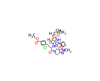 CCOC(=O)c1ccc(CCC(NC(=O)C(C)(C)NC(=O)OC(C)(C)C)C(=O)N2CCC3=NN(C)C(=O)C3(Cc3ccccc3)C2)c(Cl)c1